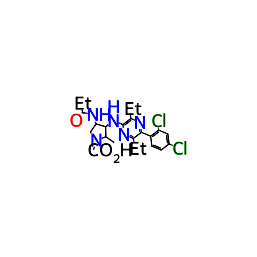 CCC(=O)N[C@H]1CN(C(=O)O)C(C)[C@@H]1Nc1nc(CC)c(-c2ccc(Cl)cc2Cl)nc1CC